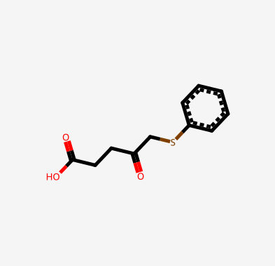 O=C(O)CCC(=O)CSc1ccccc1